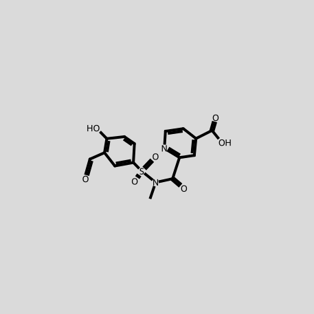 CN(C(=O)c1cc(C(=O)O)ccn1)S(=O)(=O)c1ccc(O)c(C=O)c1